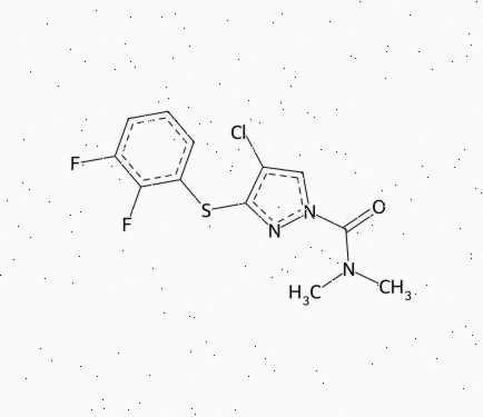 CN(C)C(=O)n1cc(Cl)c(Sc2cccc(F)c2F)n1